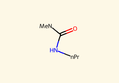 [CH2]CCNC(=O)NC